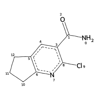 NC(=O)c1cc2c(nc1Cl)CCC2